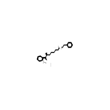 Cn1cc(C(=O)CCCCCNCCc2ccccc2)c2ccccc21